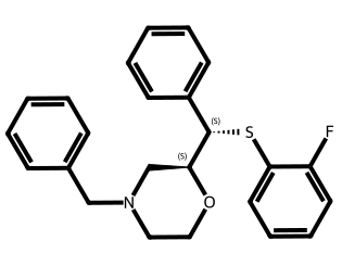 Fc1ccccc1S[C@@H](c1ccccc1)[C@@H]1CN(Cc2ccccc2)CCO1